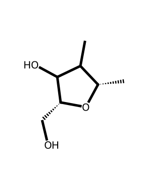 CC1C(O)[C@@H](CO)O[C@H]1C